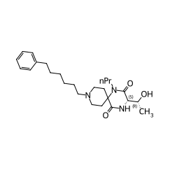 CCCN1C(=O)[C@H]([C@@H](C)O)NC(=O)C12CCN(CCCCCCc1ccccc1)CC2